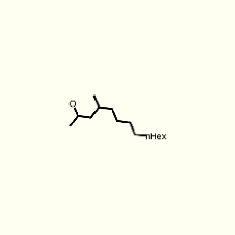 CCCCCCCCCCC(C)CC(C)[O]